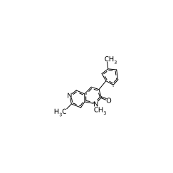 Cc1cc[c]c(-c2cc3cnc(C)cc3n(C)c2=O)c1